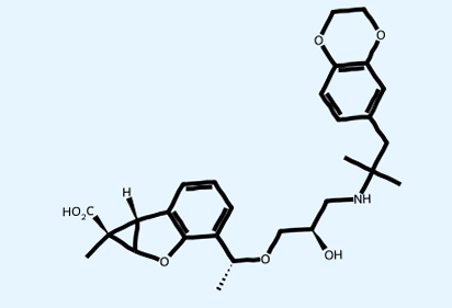 C[C@@H](OC[C@H](O)CNC(C)(C)Cc1ccc2c(c1)OCCO2)c1cccc2c1OC1[C@@H]2[C@]1(C)C(=O)O